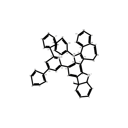 CC12C=CC=CC1Oc1c2cc(-c2cc(-c3ccccc3)cc(-c3ccccc3)n2)c2c1c1c(n2-c2ccccc2)-c2ccccc2C=CC1